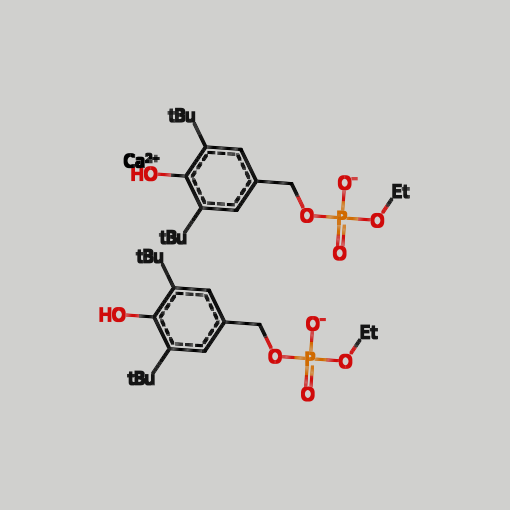 CCOP(=O)([O-])OCc1cc(C(C)(C)C)c(O)c(C(C)(C)C)c1.CCOP(=O)([O-])OCc1cc(C(C)(C)C)c(O)c(C(C)(C)C)c1.[Ca+2]